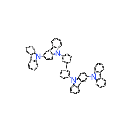 c1cc(-c2cccc(-n3c4ccccc4c4cc(-n5c6ccccc6c6ccccc65)ccc43)c2)cc(-n2c3ccccc3c3cc(-n4c5ccccc5c5ccccc54)ccc32)c1